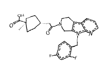 C[C@]1(C(=O)O)CC[C@H](CC(=O)N2CCc3c(n(Cc4ccc(F)cc4F)c4ncccc34)C2)CC1